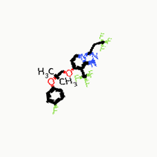 CC(C)(COc1ccn2c(CC(F)(F)F)nnc2c1C(F)(F)F)Oc1ccc(F)cc1